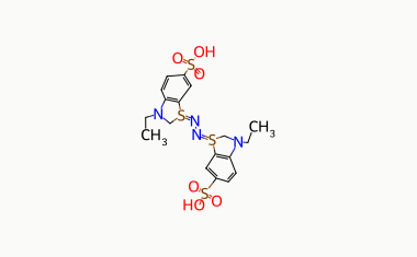 CCN1CS(=NN=S2CN(CC)c3ccc(S(=O)(=O)O)cc32)c2cc(S(=O)(=O)O)ccc21